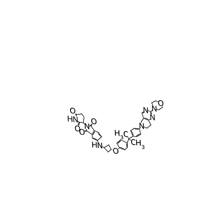 CC(C)(c1ccc(O[C@H]2C[C@H](Nc3ccc4c(c3)C(=O)N(C3CCC(=O)NC3=O)C4=O)C2)cc1)c1ccc(N2CCc3nc(N4CCOCC4)ncc3C2)cc1